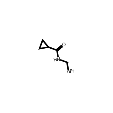 CCC[CH]NC(=O)C1CC1